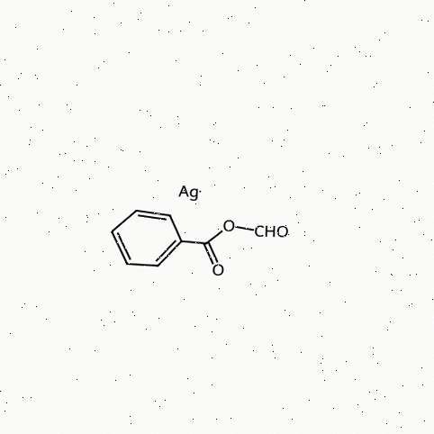 O=COC(=O)c1ccccc1.[Ag]